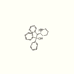 OC(c1ccccc1)(c1ccccc1)C(c1ccccc1)[C@@H]1CCCCN1